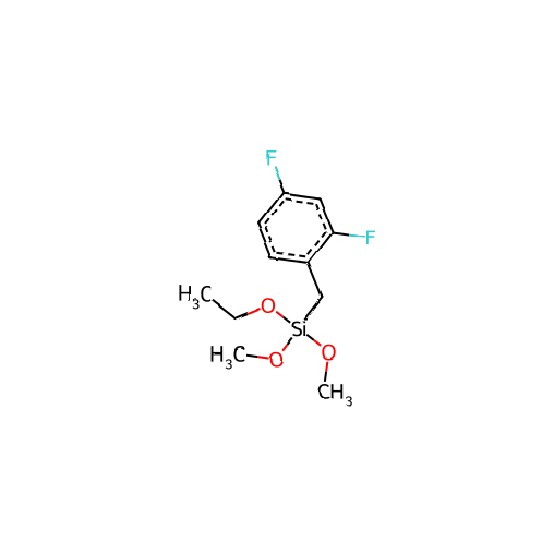 CCO[Si](Cc1ccc(F)cc1F)(OC)OC